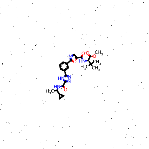 COC(=O)C(NC(=O)c1cnc(-c2cccc(-c3nnc(C(=O)NC(C)C4CC4)[nH]3)c2)o1)C(C)(C)C